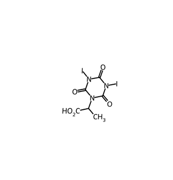 CC(C(=O)O)n1c(=O)n(I)c(=O)n(I)c1=O